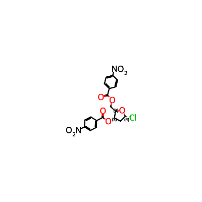 O=C(OC[C@H]1O[C@H](Cl)C[C@@H]1OC(=O)c1ccc([N+](=O)[O-])cc1)c1ccc([N+](=O)[O-])cc1